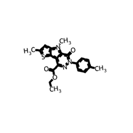 CCOC(=O)c1nn(-c2ccc(C)cc2)c(=O)c2c1c1sc(C)cc1n2C